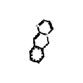 C1=CN2Cc3ccccc3C=C2N=C1